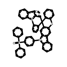 O=P(c1ccccc1)(c1ccccc1)c1ccc(-n2c3ccccc3c3cc4c(cc32)C2(c3ccccc3S4)c3ccccc3-n3c4ccccc4c4cccc2c43)cc1